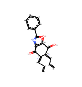 C=C/C=C1/C(=O)c2nc(-c3ccccc3)oc2C(=O)/C1=C/C=C